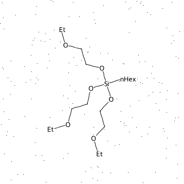 CCCCCC[Si](OCCOCC)(OCCOCC)OCCOCC